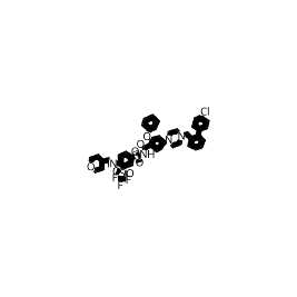 O=C(NS(=O)(=O)c1ccc(NCC2CCOCC2)c(S(=O)(=O)C(F)(F)F)c1)c1ccc(N2CCN(Cc3ccccc3-c3ccc(Cl)cc3)CC2)cc1Oc1ccccc1